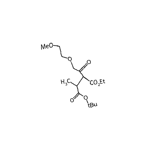 CCOC(=O)C(C(=O)COCCOC)C(C)C(=O)OC(C)(C)C